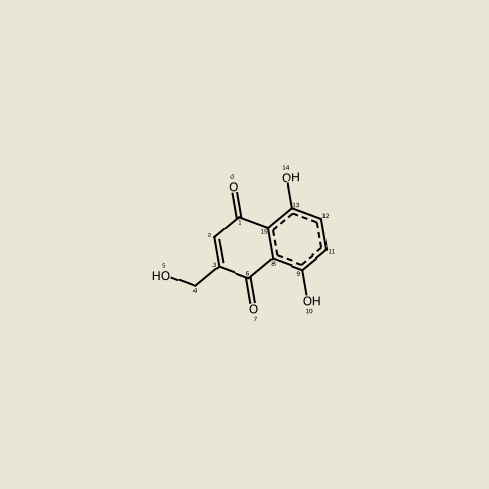 O=C1C=C(CO)C(=O)c2c(O)ccc(O)c21